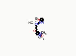 CCOc1ccccc1NCCN(CCCCC(=O)c1ccc2c(c1)n(C)c(=O)n2C)C(=O)O